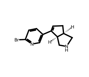 Brc1ccc(C2=CC[C@H]3CNC[C@@H]23)cn1